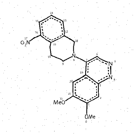 COc1cc2nncc(N3CCc4c(cccc4[N+](=O)[O-])C3)c2cc1OC